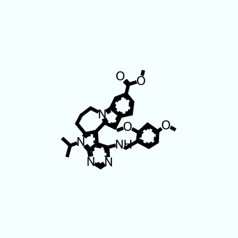 COC(=O)c1ccc2cc3n(c2c1)CCCc1c-3c2c(NCc3ccc(OC)cc3OC)ncnc2n1C(C)C